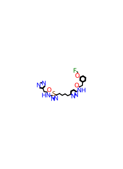 O=C(Cc1cccc(OCF)c1)Nc1ccc(CCCCc2nnc(NC(=O)Cc3cncnc3)s2)nn1